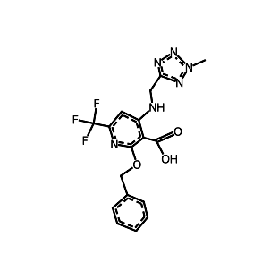 Cn1nnc(CNc2cc(C(F)(F)F)nc(OCc3ccccc3)c2C(=O)O)n1